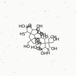 O=C(O)C(S)C(CC(CO)(CO)COC(=O)C(S)C(C(S)C(=O)O)(C(S)C(=O)O)C(CO)(CO)CO)(C(S)C(=O)O)C(S)C(=O)O